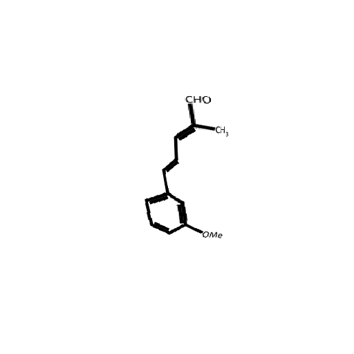 COc1cccc(C=CC=C(C)C=O)c1